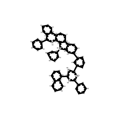 c1ccc(-c2nc(-c3cccc(-c4ccc5c6ccc7c8ccccc8c(-c8ccccc8)nc7c6n(-c6ccccc6)c5c4)c3)nc(-c3cccc4ccccc34)n2)cc1